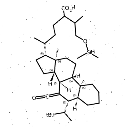 CC(CO[SiH](C)C)C(CCC(C)[C@H]1CC[C@H]2[C@@H]3C(=C=O)[C@@H](C(C)C(C)(C)C)[C@@H]4CCCC[C@]4(C)[C@H]3CC[C@]12C)C(=O)O